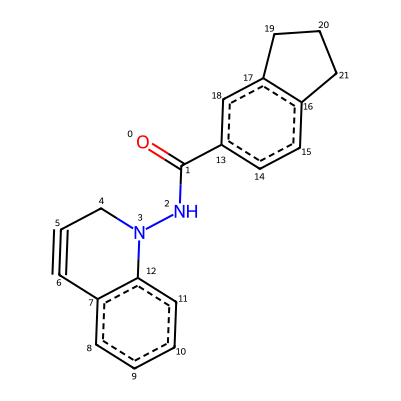 O=C(NN1CC#Cc2ccccc21)c1ccc2c(c1)CCC2